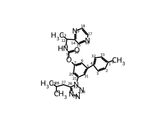 Cc1ccc(-c2cc(OC(=O)NC(C)c3cnccn3)cc(-n3nnnc3CC(C)C)c2)cc1